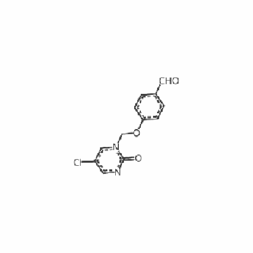 O=Cc1ccc(OCn2cc(Cl)cnc2=O)cc1